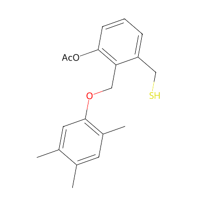 CC(=O)Oc1cccc(CS)c1COc1cc(C)c(C)cc1C